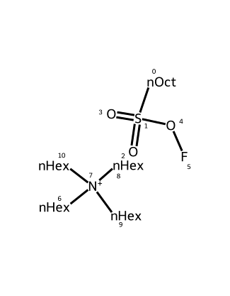 CCCCCCCCS(=O)(=O)OF.CCCCCC[N+](CCCCCC)(CCCCCC)CCCCCC